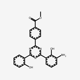 COC(=O)c1ccc(-c2nc(-c3ccccc3O)nc(-c3cccc(N)c3O)n2)cc1